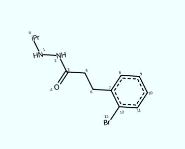 CC(C)NNC(=O)CCc1ccccc1Br